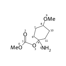 COC(=O)OC1(N)CCC(OC)CC1